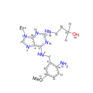 CCn1cnc2c(NCc3cc(OC)ccc3N)nc(NCCC(C)(C)O)nc21